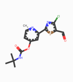 C.CC(C)(C)NC(=O)Oc1ccnc(-c2nc(Cl)c(C=O)s2)c1